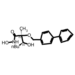 CCCC[C@H](O)[C@](C)(OCc1ccc(-c2ccccc2)cc1)C(=O)NO